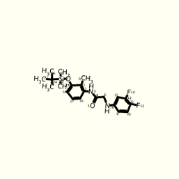 Cc1c(NC(=O)CNc2ccc(F)c(F)c2)cccc1O[Si](C)(C)C(C)(C)C